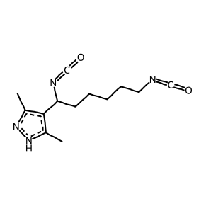 Cc1n[nH]c(C)c1C(CCCCCN=C=O)N=C=O